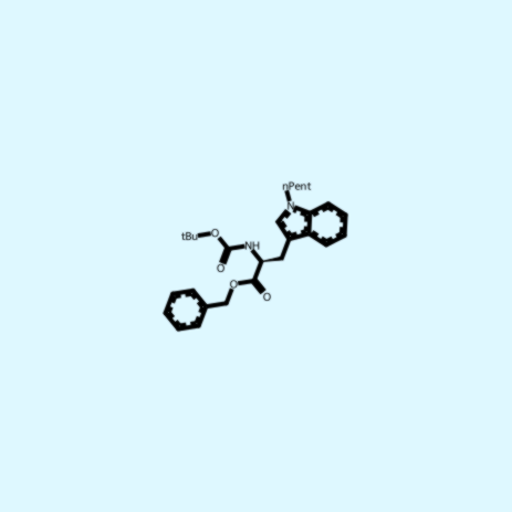 CCCCCn1cc(C[C@H](NC(=O)OC(C)(C)C)C(=O)OCc2ccccc2)c2ccccc21